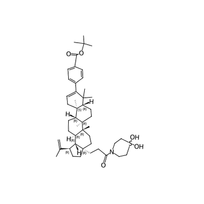 C=C(C)[C@@H]1CC[C@]2(CCC(=O)N3CCS(O)(O)CC3)CC[C@]3(C)[C@H](CC[C@@H]4[C@@]5(C)CC=C(c6ccc(C(=O)OC(C)(C)C)cc6)C(C)(C)[C@@H]5CC[C@]43C)[C@@H]12